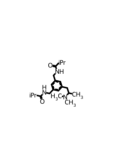 CC(C)C(=O)NCc1cc(CNC(=O)C(C)C)cc(CC(C)N(C)C)c1